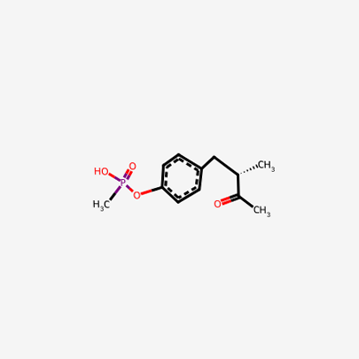 CC(=O)[C@@H](C)Cc1ccc(OP(C)(=O)O)cc1